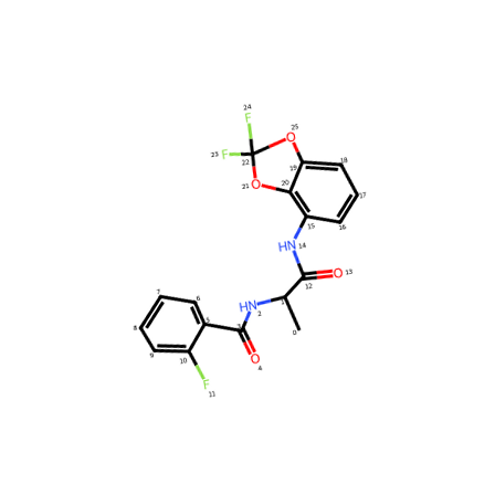 CC(NC(=O)c1ccccc1F)C(=O)Nc1cccc2c1OC(F)(F)O2